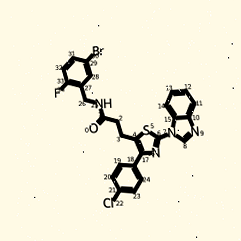 O=C(CCc1sc(-n2cnc3ccccc32)nc1-c1ccc(Cl)cc1)NCc1cc(Br)ccc1F